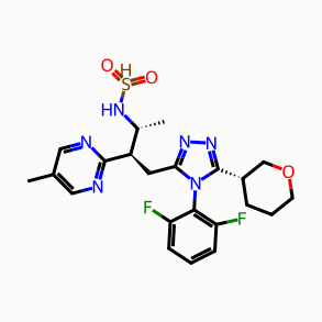 Cc1cnc([C@H](Cc2nnc([C@H]3CCCOC3)n2-c2c(F)cccc2F)[C@@H](C)N[SH](=O)=O)nc1